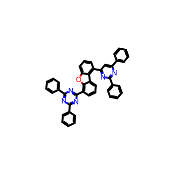 c1ccc(-c2cc(-c3cccc4oc5c(-c6nc(-c7ccccc7)nc(-c7ccccc7)n6)cccc5c34)nc(-c3ccccc3)n2)cc1